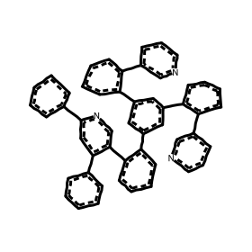 c1ccc(-c2cc(-c3ccccc3)c(-c3ccccc3-c3cc(-c4ccccc4-c4cccnc4)cc(-c4ccccc4-c4cccnc4)c3)cn2)cc1